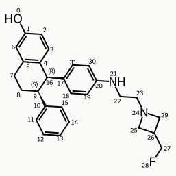 Oc1ccc2c(c1)CC[C@H](c1ccccc1)[C@@H]2c1ccc(NCCN2CC(CF)C2)cc1